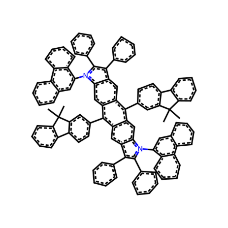 CC1(C)c2ccccc2-c2ccc(-c3c4cc5c(-c6ccccc6)c(-c6ccccc6)n(-c6cc7ccccc7c7ccccc67)c5cc4c(-c4ccc5c(c4)C(C)(C)c4ccccc4-5)c4cc5c(-c6ccccc6)c(-c6ccccc6)n(-c6cc7ccccc7c7ccccc67)c5cc34)cc21